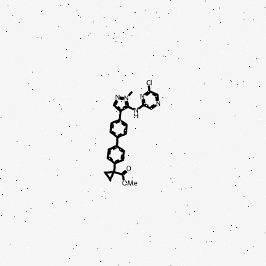 COC(=O)C1(c2ccc(-c3ccc(-c4cnn(C)c4Nc4cncc(Cl)n4)cc3)cc2)CC1